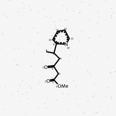 COC(=O)CC(=O)CC(C)c1ccccn1